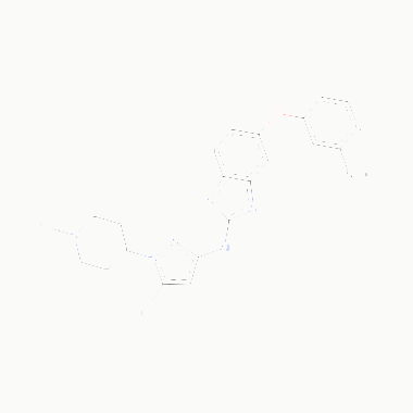 CC(=O)Nc1cc(Oc2ccc3nc(Nc4cc(C(F)(F)F)n(C5CCN(C(C)=O)CC5)n4)[nH]c3c2)ccn1